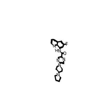 O=C(Nc1cc(F)cc2cccnc12)c1cnc(N2CCC(N3CCCC3)CC2)cn1